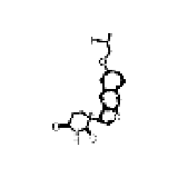 O=C1CC[C@@H](c2coc3cc4ccc(OCC(F)F)cc4cc23)C(=O)N1